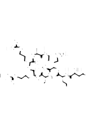 CSCC[C@H](NC(=O)[C@H](CCC(=O)O)NC(=O)[C@@H](N)CCC(=O)O)C(=O)N[C@@H](CC(=O)O)C(=O)N[C@@H](CCCNC(=N)N)C(=O)N[C@@H](CCCNC(=N)N)C(=O)N[C@@H](C)C(=O)N[C@@H](CC(=O)O)C(=O)O